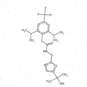 CC(C)c1cc(C(F)(F)F)cc(C(C)C)c1CC(=O)NSc1ncc(C(C)(C)O)s1